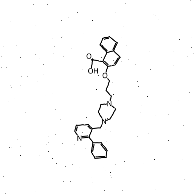 O=C(O)c1c(OCCCN2CCN(Cc3cccnc3-c3ccccc3)CC2)ccc2ccccc12